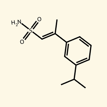 CC(=CS(N)(=O)=O)c1cccc(C(C)C)c1